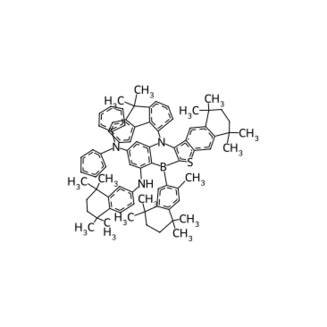 Cc1cc2c(cc1B1c3sc4cc5c(cc4c3N(c3cccc4c3-c3ccccc3C4(C)C)c3cc(N(c4ccccc4)c4ccccc4)cc(Nc4ccc6c(c4)C(C)(C)CCC6(C)C)c31)C(C)(C)CCC5(C)C)C(C)(C)CCC2(C)C